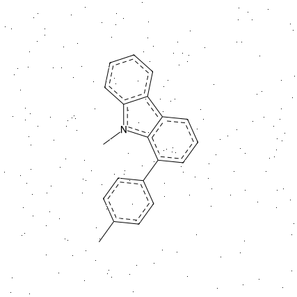 Cc1ccc(-c2cccc3c4ccccc4n(C)c23)cc1